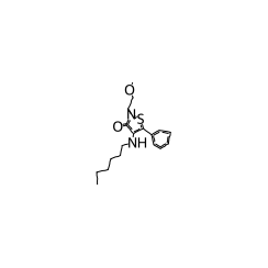 CCCCCCNc1c(-c2ccccc2)sn(CCOC)c1=O